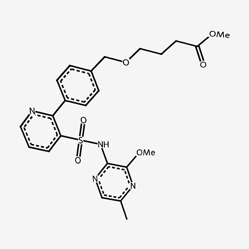 COC(=O)CCCOCc1ccc(-c2ncccc2S(=O)(=O)Nc2ncc(C)nc2OC)cc1